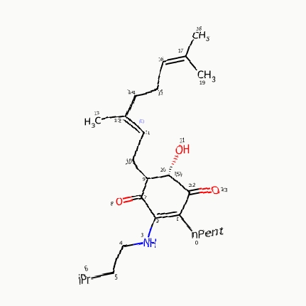 CCCCCC1=C(NCCC(C)C)C(=O)C(C/C=C(\C)CCC=C(C)C)[C@H](O)C1=O